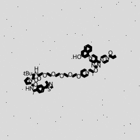 C=CC(=O)N1CCN(c2nc(O[C@H](C)CN3CCC(OCCOCCOCCOCCOCC(=O)N[C@H](C(=O)N4CCC[C@H]4C(=O)N[C@@H](C)c4ccc(-c5scnc5C)cc4)C(C)(C)C)CC3)nc3c2CCN(c2cc(O)cc4ccccc24)C3)CC1